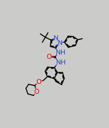 Cc1ccc(-n2nc(C(C)(C)C)cc2NC(=O)Nc2ccc(COC3CCCCO3)c3ccccc23)cc1